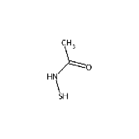 CC(=O)NS